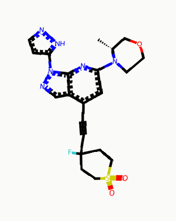 C[C@@H]1COCCN1c1cc(C#CC2(F)CCS(=O)(=O)CC2)c2cnn(-c3ccn[nH]3)c2n1